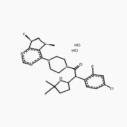 C[C@@H]1C[C@H](F)c2ncnc(N3CCN(C(=O)C(c4ccc(Cl)cc4F)C4CCC(C)(C)N4)CC3)c21.Cl.Cl